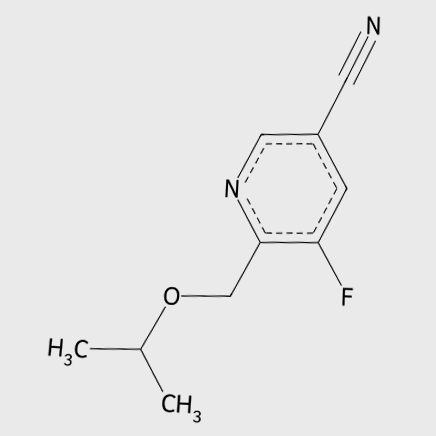 CC(C)OCc1ncc(C#N)cc1F